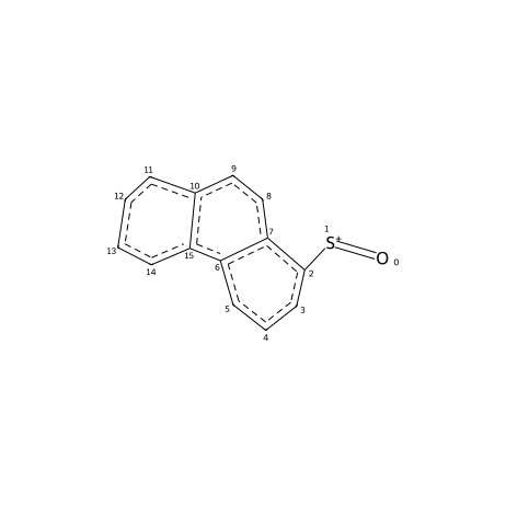 O=[S+]c1cccc2c1ccc1ccccc12